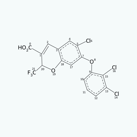 O=C(O)C1=Cc2cc(Cl)c(Oc3cccc(Cl)c3Cl)cc2OC1C(F)(F)F